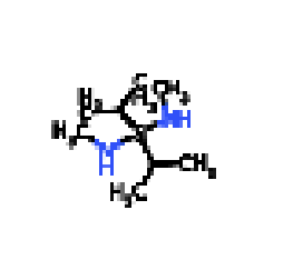 CN[Si](NC)(C(C)C)C(C)C